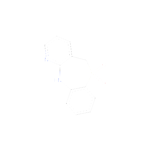 O=S1(=O)Cc2cccnc2Nc2ccccc21